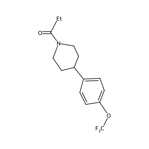 CCC(=O)N1CCC(c2ccc(OC(F)(F)F)cc2)CC1